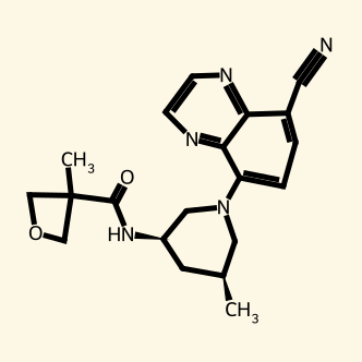 C[C@H]1C[C@@H](NC(=O)C2(C)COC2)CN(c2ccc(C#N)c3nccnc23)C1